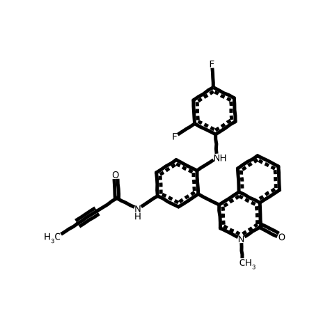 CC#CC(=O)Nc1ccc(Nc2ccc(F)cc2F)c(-c2cn(C)c(=O)c3ccccc23)c1